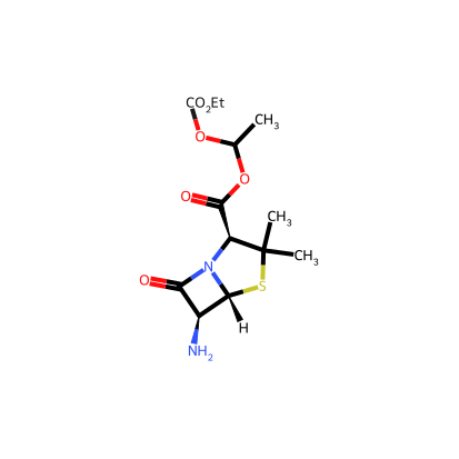 CCOC(=O)OC(C)OC(=O)[C@@H]1N2C(=O)[C@H](N)[C@H]2SC1(C)C